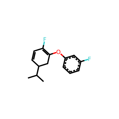 CC(C)C1C=CC(F)=C(Oc2cccc(F)c2)C1